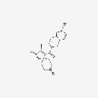 CCN1CCC2(CC1)OC(=O)C(C)=C2C(=O)N1CCC2C=C(C(F)(F)F)C=CC2C1